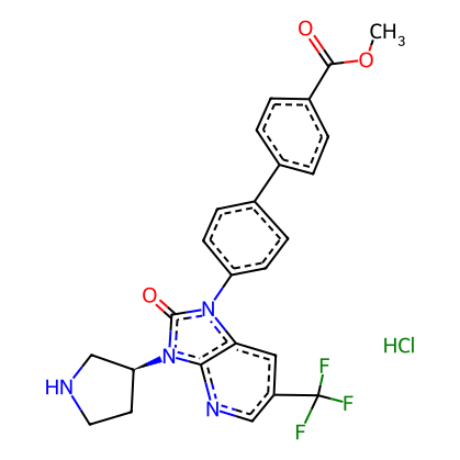 COC(=O)c1ccc(-c2ccc(-n3c(=O)n([C@H]4CCNC4)c4ncc(C(F)(F)F)cc43)cc2)cc1.Cl